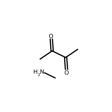 CC(=O)C(C)=O.CN